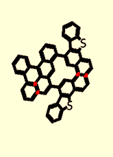 c1ccc(-c2ccccc2-c2c3cccc(-c4cc5ccccc5c5sc6ccccc6c45)c3cc3c(-c4cc5ccccc5c5sc6ccccc6c45)cccc23)cc1